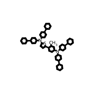 Cc1cc(N(c2ccc(-c3ccccc3)cc2)c2ccc(-c3ccccc3)cc2)ccc1-c1ccc(N(c2ccc(-c3ccccc3)cc2)c2ccc(-c3ccccc3)cc2)s1